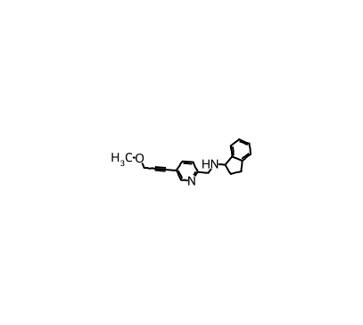 COCC#Cc1ccc(CNC2CCc3ccccc32)nc1